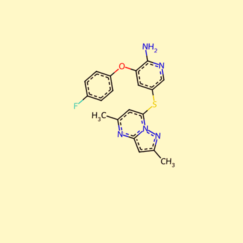 Cc1cc(Sc2cnc(N)c(Oc3ccc(F)cc3)c2)n2nc(C)cc2n1